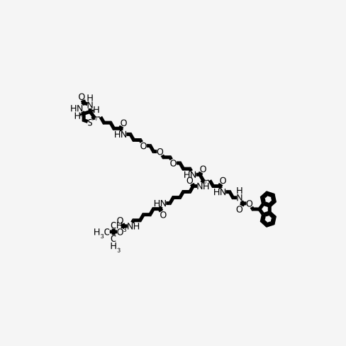 CC(C)(C)OC(=O)NCCCCCC(=O)NCCCCCC(=O)N[C@@H](CCC(=O)NCCNC(=O)OCC1c2ccccc2-c2ccccc21)C(=O)NCCCOCCOCCOCCCNC(=O)CCCC[C@@H]1SC[C@@H]2NC(=O)N[C@@H]21